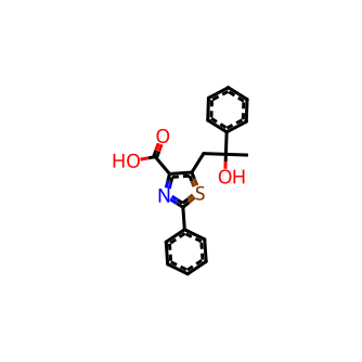 CC(O)(Cc1sc(-c2ccccc2)nc1C(=O)O)c1ccccc1